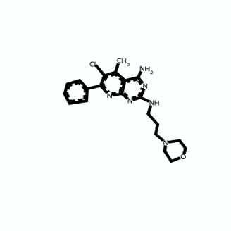 Cc1c(Cl)c(-c2ccccc2)nc2nc(NCCCN3CCOCC3)nc(N)c12